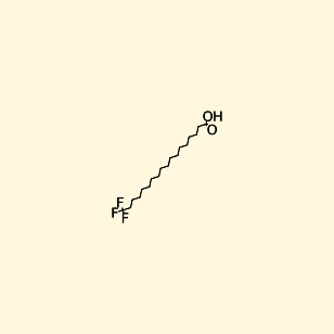 O=C(O)CCCCCCCCCCCCCCCCC(F)(F)F